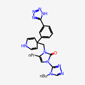 CCCCn1cnnc1-n1cc(CCC)n(CC2(c3cccc(-c4nnn[nH]4)c3)C=CNC=C2)c1=O